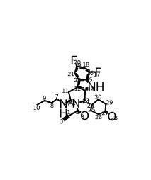 C#CC(=O)N1[C@@H](NCCCC)Cc2c([nH]c3c(F)cc(F)cc23)[C@@H]1C1CCC(=O)CC1